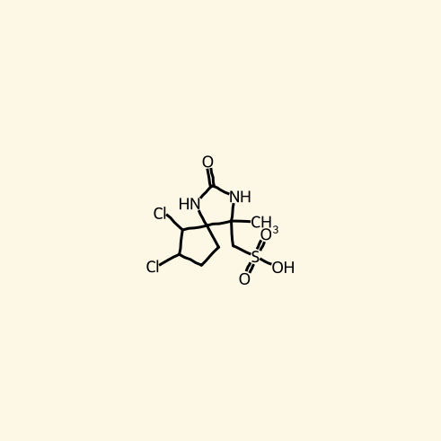 CC1(CS(=O)(=O)O)NC(=O)NC12CCC(Cl)C2Cl